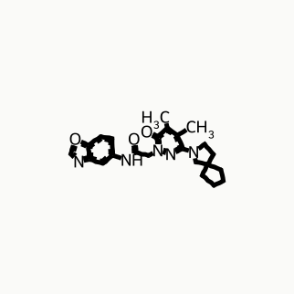 Cc1c(N2CCC3(CCCC3)C2)nn(CC(=O)Nc2ccc3ocnc3c2)c(=O)c1C